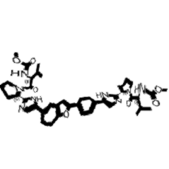 COC(=O)N[C@@H](C(=O)N1CCC[C@H]1c1ncc(-c2ccc(-c3cc4cc(-c5cnc([C@@H]6CCCN6C(=O)[C@H](NC(=O)OC)C(C)C)[nH]5)ccc4o3)cc2)[nH]1)C(C)C